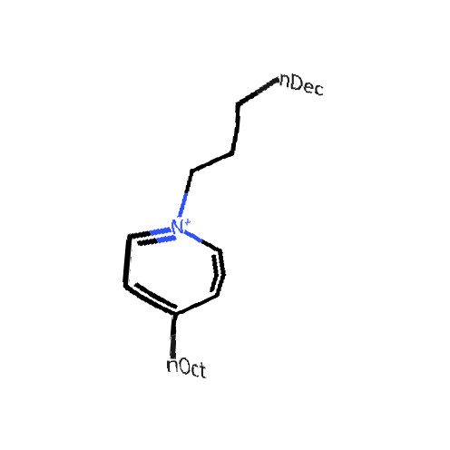 CCCCCCCCCCCCC[n+]1ccc(CCCCCCCC)cc1